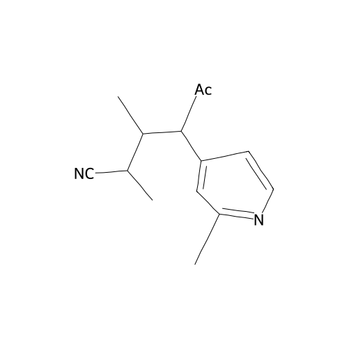 CC(=O)C(c1ccnc(C)c1)C(C)C(C)C#N